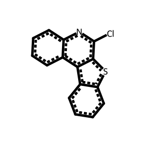 Clc1nc2ccccc2c2c1sc1ccccc12